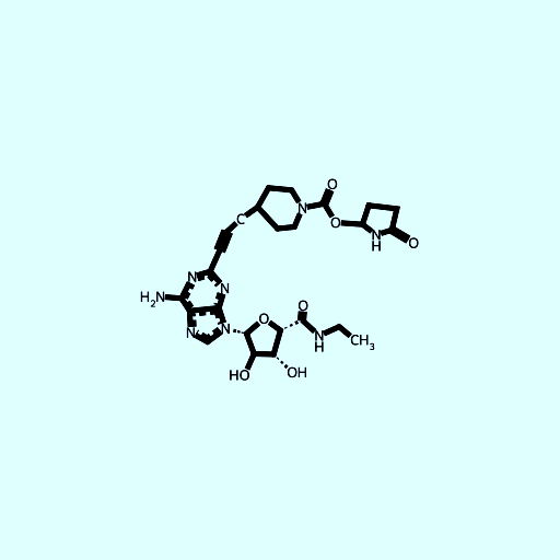 CCNC(=O)[C@H]1O[C@@H](n2cnc3c(N)nc(C#CCC4CCN(C(=O)OC5CCC(=O)N5)CC4)nc32)C(O)[C@H]1O